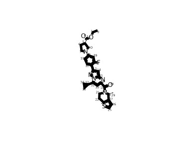 CCOC(=O)[C@H]1CCN(c2ccc(-c3cc4nc(C(=O)N5CCc6sccc6[C@H]5C)cc(C5CC5)n4n3)c(F)c2)C1